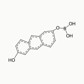 OB(O)Oc1ccc2cc3cc(O)ccc3cc2c1